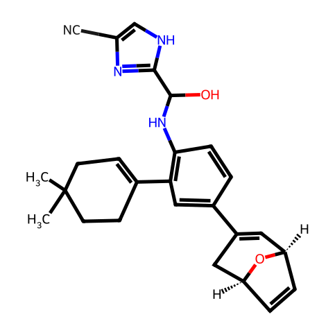 CC1(C)CC=C(c2cc(C3=C[C@H]4C=C[C@@H](C3)O4)ccc2NC(O)c2nc(C#N)c[nH]2)CC1